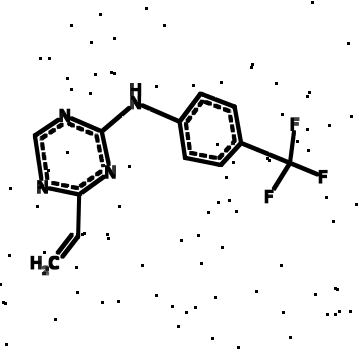 C=Cc1ncnc(Nc2ccc(C(F)(F)F)cc2)n1